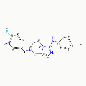 Fc1ccc(Nc2ncc3n2CCN(Cc2ccc(F)nc2)C3)cc1